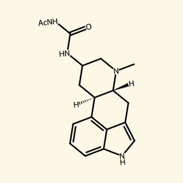 CC(=O)NC(=O)NC1C[C@@H]2c3cccc4[nH]cc(c34)C[C@H]2N(C)C1